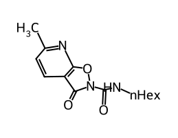 CCCCCCNC(=O)n1oc2nc(C)ccc2c1=O